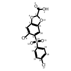 O=C(O)C1Oc2cc(Cl)c(S(=O)(=O)c3ccc(Cl)cc3)cc2O1